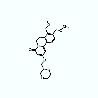 COCc1ccc2c(c1COC)CCn1c-2cc(OC[C@@H]2COCCO2)cc1=O